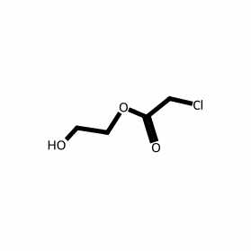 O=C(CCl)OCCO